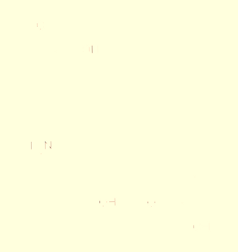 C=C(CCCCCCC(=C)C(=O)O)C(=O)O.NCCO